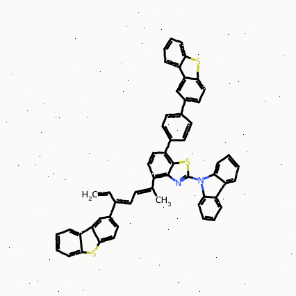 C=C/C(=C\C=C(/C)c1ccc(-c2ccc(-c3ccc4sc5ccccc5c4c3)cc2)c2sc(-n3c4ccccc4c4ccccc43)nc12)c1ccc2sc3ccccc3c2c1